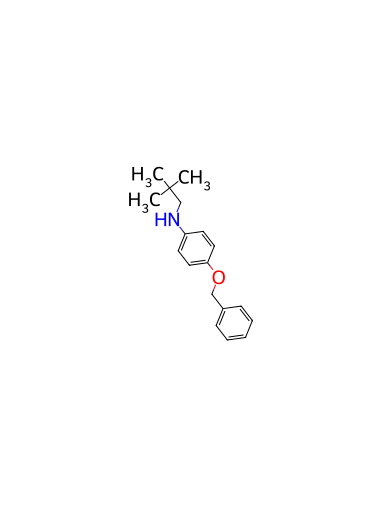 CC(C)(C)CNc1ccc(OCc2ccccc2)cc1